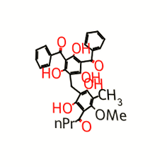 CCCC(=O)c1c(O)c(Cc2c(O)c(C(=O)c3ccccc3)c(O)c(C(=O)c3ccccc3)c2O)c(O)c(C)c1OC